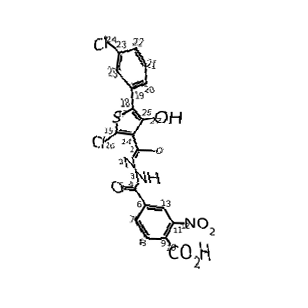 C/C(=N\NC(=O)c1ccc(C(=O)O)c([N+](=O)[O-])c1)c1c(Cl)sc(-c2cccc(Cl)c2)c1O